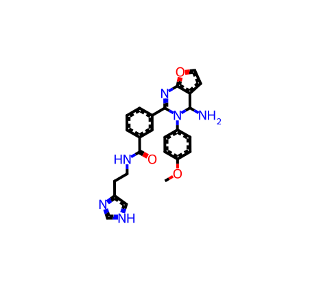 COc1ccc(N2C(c3cccc(C(=O)NCCc4c[nH]cn4)c3)=Nc3occc3C2N)cc1